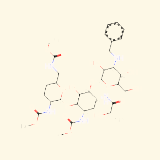 CCC[C@H](O)C(=O)N[C@@H]1C[C@@H](NC(=O)OC(C)(C)C)C(O[C@H]2OC(CNC(=O)OC(C)(C)C)CCC2NC(=O)OC(C)(C)C)C(O)[C@H]1O[C@H]1OC(CO)[C@@H](O)[C@H](NCc2ccccc2)C1O